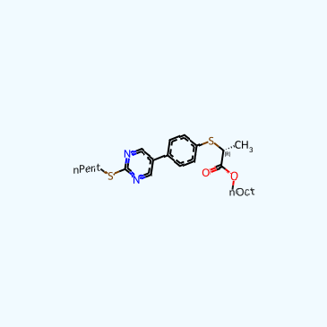 CCCCCCCCOC(=O)[C@@H](C)Sc1ccc(-c2cnc(SCCCCC)nc2)cc1